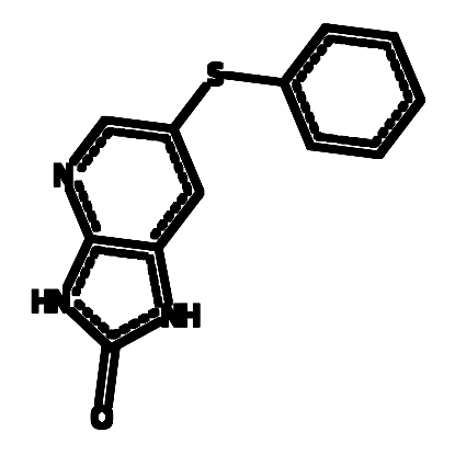 O=c1[nH]c2cc(Sc3ccccc3)cnc2[nH]1